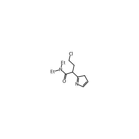 CCN(CC)C(=O)C(CCCl)C1=NC=CC1